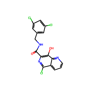 O=C(NCc1cc(Cl)cc(Cl)c1)c1nc(Cl)c2cccnc2c1O